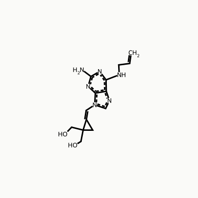 C=CCNc1nc(N)nc2c1ncn2C=C1CC1(CO)CO